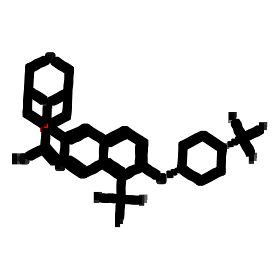 O=C(O)C1CC2COCC(C1)N2Cc1ccc2c(C(F)(F)F)c(O[C@H]3CC[C@@H](C(F)(F)F)CC3)ccc2c1